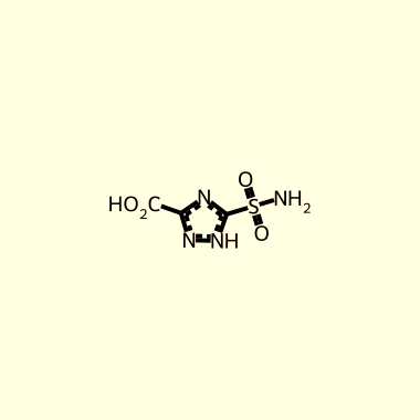 NS(=O)(=O)c1nc(C(=O)O)n[nH]1